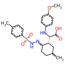 C=C1CC/C(=N\NS(=O)(=O)c2ccc(C)cc2)[C@H](C(Nc2ccc(OC)cc2)C(=O)O)C1